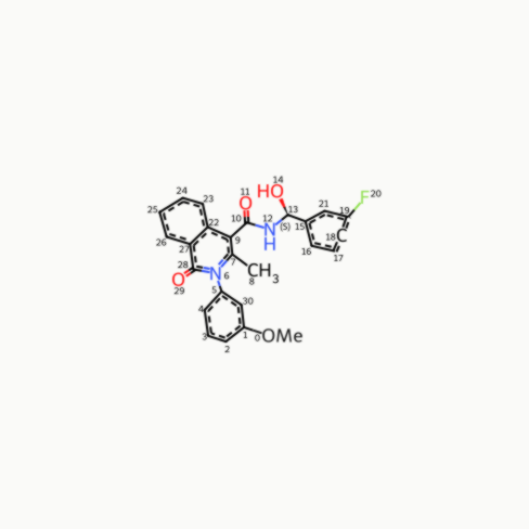 COc1cccc(-n2c(C)c(C(=O)N[C@@H](O)c3cccc(F)c3)c3ccccc3c2=O)c1